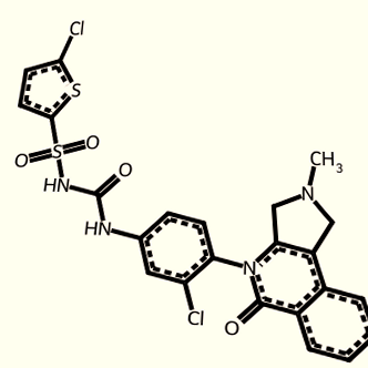 CN1Cc2c(n(-c3ccc(NC(=O)NS(=O)(=O)c4ccc(Cl)s4)cc3Cl)c(=O)c3ccccc23)C1